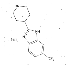 Cl.FC(F)(F)c1ccc2nc(C3CCNCC3)[nH]c2c1